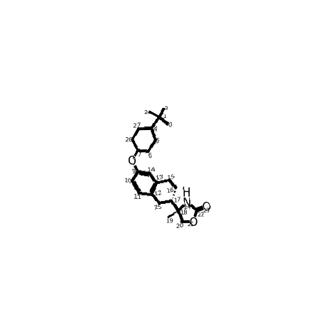 CC(C)(C)C1CCC(Oc2ccc3c(c2)CC[C@H]([C@@]2(C)COC(=O)N2)C3)CC1